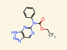 O=C(OCC(F)(F)F)N(c1ccccc1)c1ncc2nn[nH]c2n1